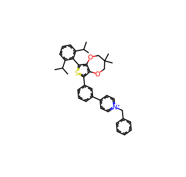 CC(C)c1cccc(C(C)C)c1-c1sc(-c2cccc(-c3cc[n+](Cc4ccccc4)cc3)c2)c2c1OCC(C)(C)CO2